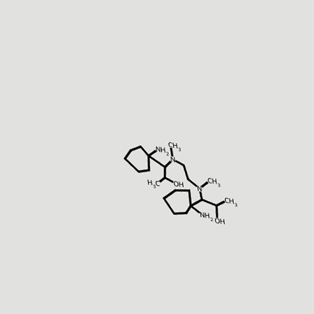 CC(O)C(N(C)CCN(C)C(C(C)O)C1(N)CCCCC1)C1(N)CCCCC1